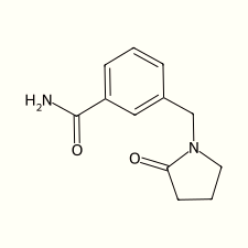 NC(=O)c1cccc(CN2CCCC2=O)c1